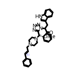 COC(=O)C(Cc1c[nH]c2ccccc12)n1nnnc1[C@H](C1C=CC=CC1)N1CCN(C/C=C/c2ccccc2)CC1